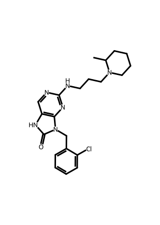 CC1CCCCN1CCCNc1ncc2[nH]c(=O)n(Cc3ccccc3Cl)c2n1